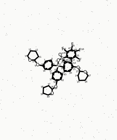 O=S(=O)(OS(c1ccc(OC2CCCCO2)cc1)(c1ccc(OC2CCCCO2)cc1)c1ccc(OC2CCCCO2)cc1)c1c(F)c(F)c(F)c(F)c1F